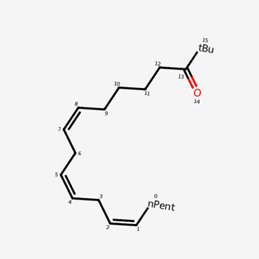 CCCCC/C=C\C/C=C\C/C=C\CCCCC(=O)C(C)(C)C